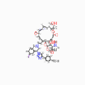 CC[C@H]1OC(=O)C[C@@H](O)[C@H](C)[C@@H](O[C@@H]2O[C@@H]3O[C@H]3C(N(C)C)C2O)[C@@H](CCN(CCn2cc(-c3ccc(C(C)(C)C)cc3)nn2)Cc2ccc(I)cc2)C[C@@H](C)C(=O)/C=C/C(C)=C/[C@@H]1CO